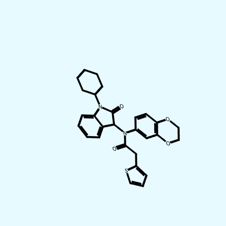 O=C1C(N(C(=O)Cc2cccs2)c2ccc3c(c2)OCCO3)c2ccccc2N1C1CCCCC1